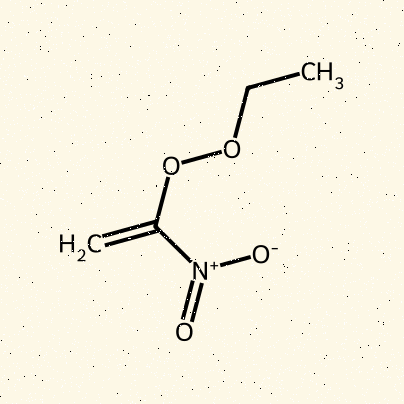 C=C(OOCC)[N+](=O)[O-]